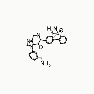 NCc1cccc(-n2cnc3c2C(=O)C(c2ccc(-c4ccccc4S(N)(=O)=O)cc2)N=C3)c1